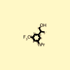 [CH2]C(CO)c1cc(CCC)cc(C(F)(F)F)c1